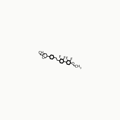 C=CC1CCC(c2ccc(CCc3ccc(-c4ccc(OCC)c(F)c4F)c(F)c3F)cc2)CO1